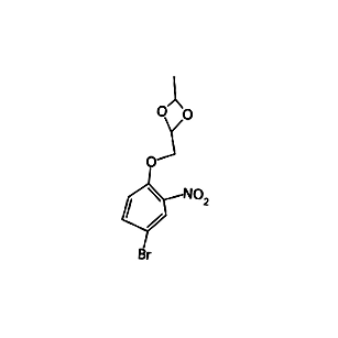 CC1OC(COc2ccc(Br)cc2[N+](=O)[O-])O1